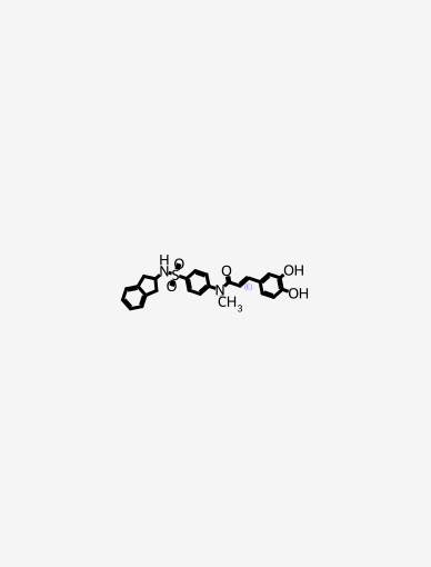 CN(C(=O)/C=C/c1ccc(O)c(O)c1)c1ccc(S(=O)(=O)NC2Cc3ccccc3C2)cc1